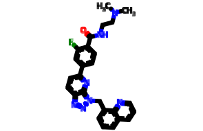 CN(C)CCNC(=O)c1ccc(-c2ccc3nnn(Cc4cccc5cccnc45)c3n2)cc1F